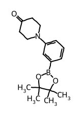 CC1(C)OB(c2cccc(N3CCC(=O)CC3)c2)OC1(C)C